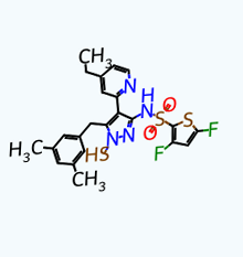 CCc1ccnc(-c2c(NS(=O)(=O)c3sc(F)cc3F)nn(S)c2Cc2cc(C)cc(C)c2)c1